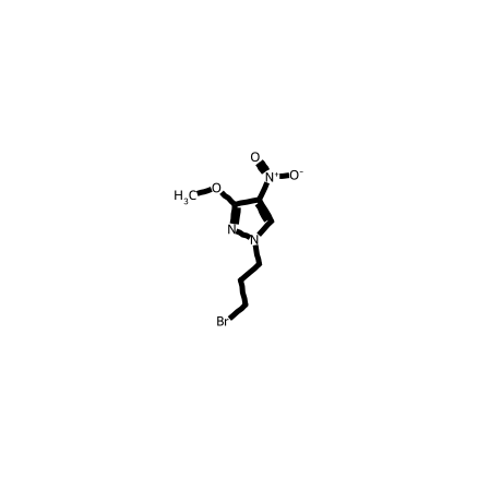 COc1nn(CCCBr)cc1[N+](=O)[O-]